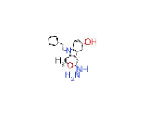 Cc1c(CC(=O)NN)c2cc(O)ccc2n1CCc1ccccc1